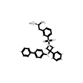 N[C@@H](Cc1cccc(S(=O)(=O)N2CC(Oc3ccc(-c4ccccc4)cc3)(c3ccccc3)C2)c1)C(=O)O